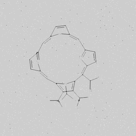 CCCCC(C=O)c1c(C(C=O)CCCC)c2c(C(C=O)CCCC)c3nc(cc4ccc(cc5nc(cc1n2C(C=O)CCCC)C=C5)[nH]4)C=C3